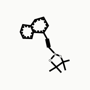 CC1(C)OB(C#Cc2cccc3ccccc23)OC1(C)C